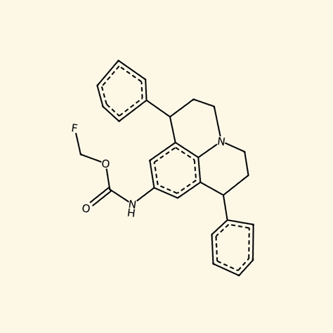 O=C(Nc1cc2c3c(c1)C(c1ccccc1)CCN3CCC2c1ccccc1)OCF